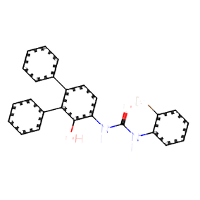 O=C(Nc1ccccc1Br)Nc1ccc(-c2ccccc2)c(-c2ccccc2)c1O